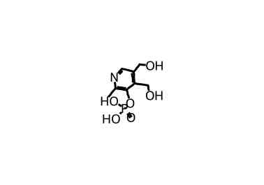 Cc1ncc(CO)c(CO)c1OP(=O)(O)O